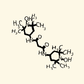 CC1(C)CC(NC(=O)CC(=O)NC2CC(C)(C)N(O)C(C)(C)C2)CC(C)(C)N1O